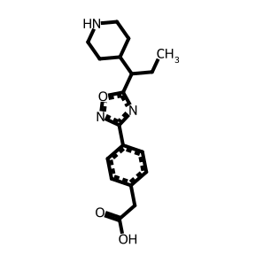 CCC(c1nc(-c2ccc(CC(=O)O)cc2)no1)C1CCNCC1